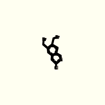 Clc1cc2cc(CBr)c(CBr)cc2cn1